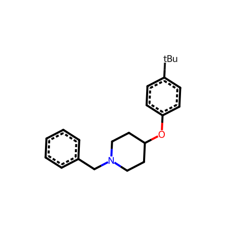 CC(C)(C)c1ccc(OC2CCN(Cc3ccccc3)CC2)cc1